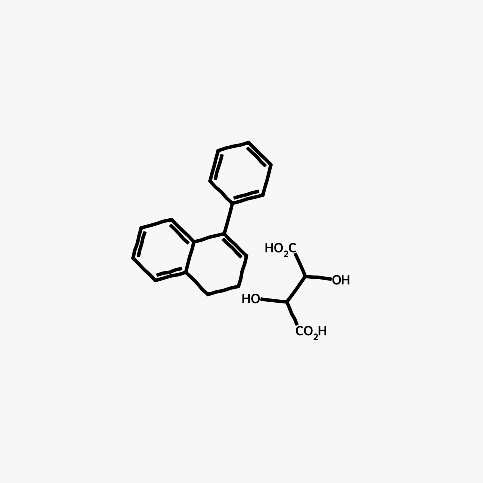 C1=C(c2ccccc2)c2ccccc2CC1.O=C(O)C(O)C(O)C(=O)O